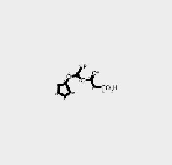 CC(C)C(OC(=O)CC(=O)O)OC1CCCC1